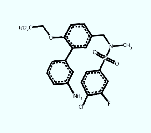 CN(Cc1ccc(OCC(=O)O)c(-c2cccc(N)c2)c1)S(=O)(=O)c1ccc(Cl)c(F)c1